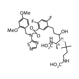 COc1ccc(CN(c2ncns2)S(=O)(=O)c2cc(CCC(O)[C@H](CC(C)(C)CCNC(=O)O)[C@@H](C)NC(=O)O)c(F)cc2F)c(OC)c1